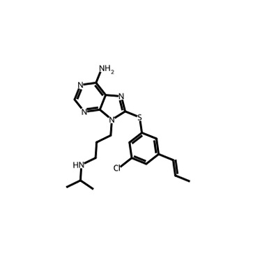 C/C=C/c1cc(Cl)cc(Sc2nc3c(N)ncnc3n2CCCNC(C)C)c1